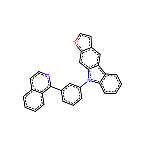 c1cc(-c2nccc3ccccc23)cc(-n2c3ccccc3c3cc4ccoc4cc32)c1